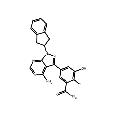 NC(=O)c1cc(-c2nn(C3Cc4ccccc4C3)c3ncnc(N)c23)cc(O)c1F